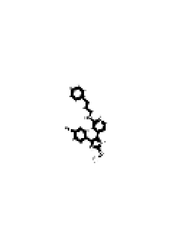 CSc1nc(-c2ccnc(NCC=Cc3ccccc3)c2)c(-c2ccc(F)cc2)[nH]1